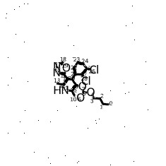 CCCCOC(=O)OC1=C(C)NC(C)=C(c2nnco2)C1c1cccc(Cl)c1Cl